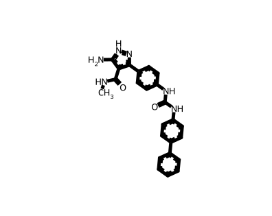 CNC(=O)c1c(-c2ccc(NC(=O)Nc3ccc(-c4ccccc4)cc3)cc2)n[nH]c1N